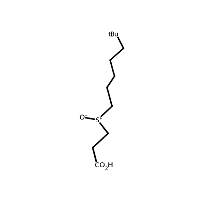 CC(C)(C)CCCCC[S+]([O-])CCC(=O)O